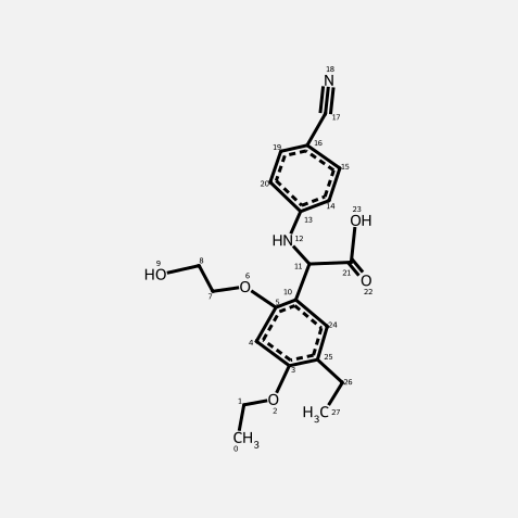 CCOc1cc(OCCO)c(C(Nc2ccc(C#N)cc2)C(=O)O)cc1CC